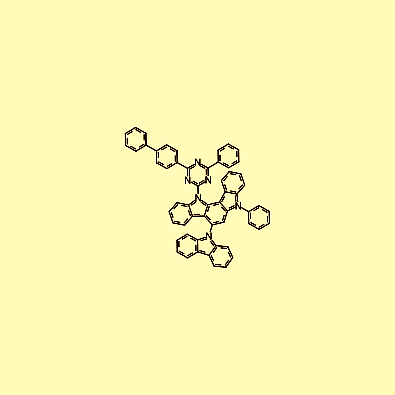 c1ccc(-c2ccc(-c3nc(-c4ccccc4)nc(-n4c5ccccc5c5c(-n6c7ccccc7c7ccccc76)cc6c(c7ccccc7n6-c6ccccc6)c54)n3)cc2)cc1